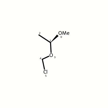 CO[C@H](C)OCCl